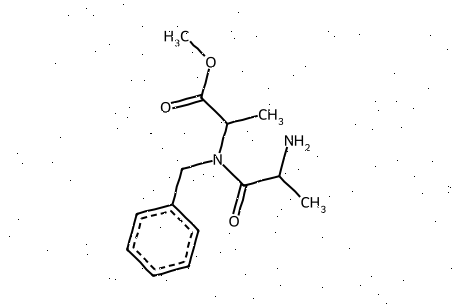 COC(=O)C(C)N(Cc1ccccc1)C(=O)C(C)N